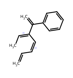 C=C/C=C\C(=C/C)C(=C)c1ccccc1